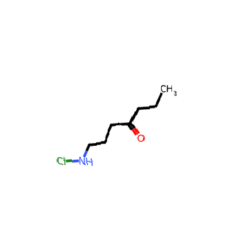 CCCC(=O)CCCNCl